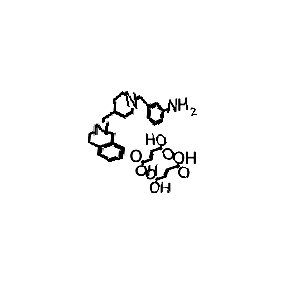 Nc1cccc(CN2CCC(CN3CCc4ccccc4C3)CC2)c1.O=C(O)C=CC(=O)O.O=C(O)C=CC(=O)O